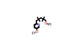 CCOc1ccc(CC(C)(C)CC(C)(C)COC(C)C)nc1